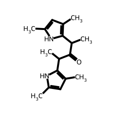 Cc1cc(C)c(C(C)C(=O)C(C)c2[nH]c(C)cc2C)[nH]1